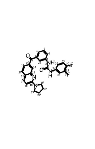 O=C(Nc1cccc(C(=O)c2ccc3ncc(N4CCCC4)nc3c2)c1)Nc1ccc(F)c(F)c1